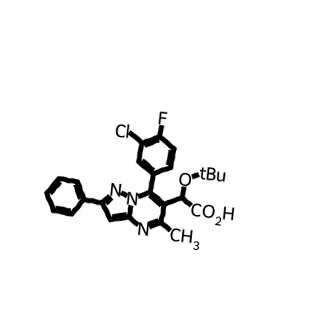 Cc1nc2cc(-c3ccccc3)nn2c(-c2ccc(F)c(Cl)c2)c1C(OC(C)(C)C)C(=O)O